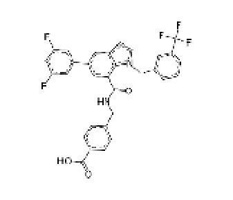 O=C(O)c1ccc(CNC(=O)c2cc(-c3cc(F)cc(F)c3)cc3ccn(Cc4cccc(C(F)(F)F)c4)c23)cc1